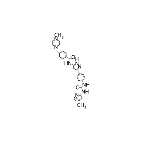 Cc1cc(NC(=O)Nc2ccc(-c3cc(NC(=O)c4ccc(CN5CCN(C)CC5)cc4)[nH]n3)cc2)no1